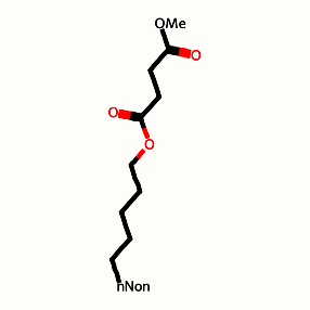 CCCCCCCCCCCCCCOC(=O)CCC(=O)OC